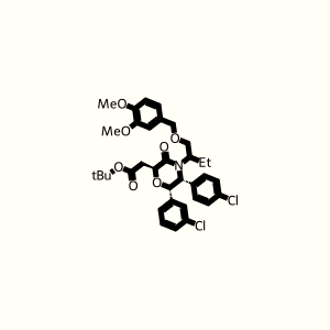 CCC(COCc1ccc(OC)c(OC)c1)N1C(=O)[C@H](CC(=O)OC(C)(C)C)O[C@@H](c2cccc(Cl)c2)[C@H]1c1ccc(Cl)cc1